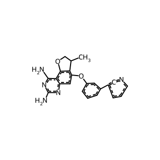 CC1COc2c1c(Oc1cccc(-c3cccnc3)c1)cc1nc(N)nc(N)c21